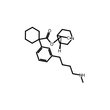 CNCCCCc1cccc(C2(C(=O)O[C@H]3CN4CCC3CC4)CCCCC2)c1